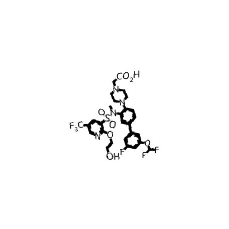 CN(c1cc(-c2cc(F)cc(OC(F)F)c2)ccc1N1CCN(CC(=O)O)CC1)S(=O)(=O)c1cc(C(F)(F)F)cnc1OCCO